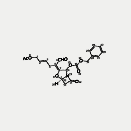 CC(=O)OCC=CCC(C=O)=C1O[C@@H]2CC(=O)N2C1OC(=O)OCc1ccccc1